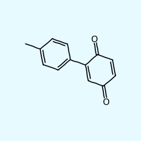 Cc1ccc(C2=CC(=O)C=CC2=O)cc1